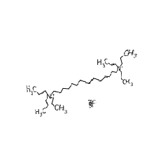 CCC[N+](CCC)(CCC)CCCCCCCCCCCCCC[N+](CCC)(CCC)CCC.[Br-].[Br-]